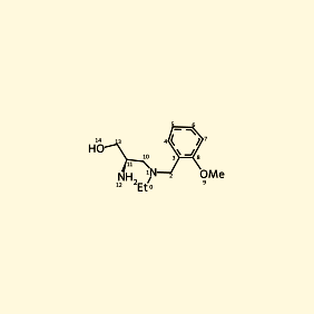 CCN(Cc1ccccc1OC)C[C@@H](N)CO